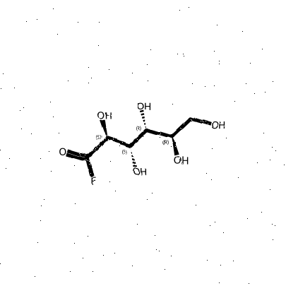 O=C(F)[C@@H](O)[C@@H](O)[C@H](O)[C@H](O)CO